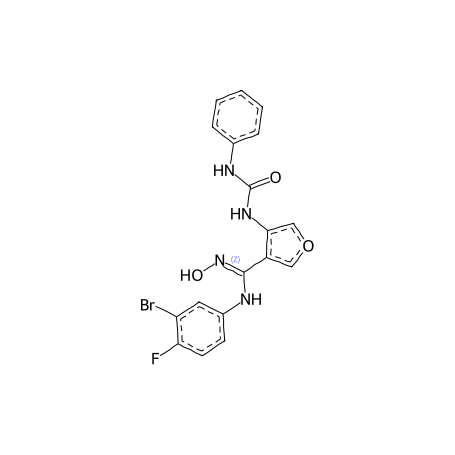 O=C(Nc1ccccc1)Nc1cocc1/C(=N/O)Nc1ccc(F)c(Br)c1